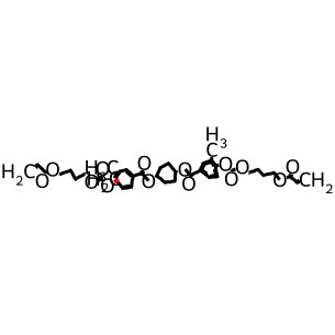 C=CC(=O)OCCCCOC(=O)OC/C=C\C(=C/C(=C)C)C(=O)O[C@H]1CC[C@H](OC(=O)c2ccc(OC(=O)OCCCCOC(=O)C=C)c(C)c2)CC1